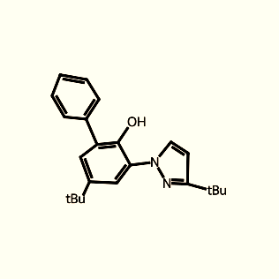 CC(C)(C)c1cc(-c2ccccc2)c(O)c(-n2ccc(C(C)(C)C)n2)c1